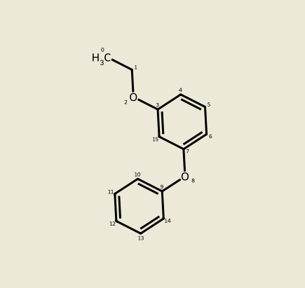 CCOc1cccc(Oc2ccccc2)c1